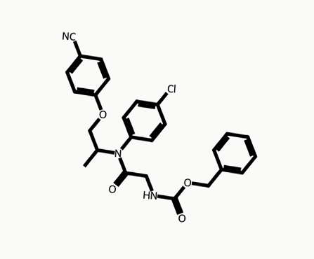 CC(COc1ccc(C#N)cc1)N(C(=O)CNC(=O)OCc1ccccc1)c1ccc(Cl)cc1